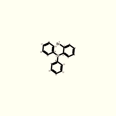 Brc1ccccc1[Si](c1ccccc1)c1ccccc1